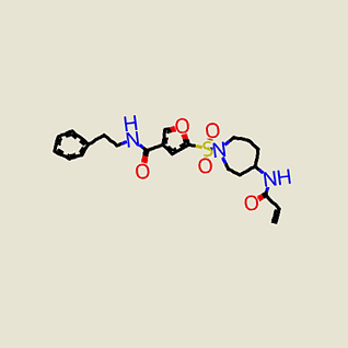 C=CC(=O)NC1CCCN(S(=O)(=O)c2cc(C(=O)NCCc3ccccc3)co2)CC1